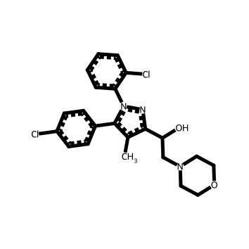 Cc1c(C(O)CN2CCOCC2)nn(-c2ccccc2Cl)c1-c1ccc(Cl)cc1